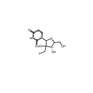 O=c1ccn(C2OC(CO)[C@H](O)C2(O)CF)c(=O)[nH]1